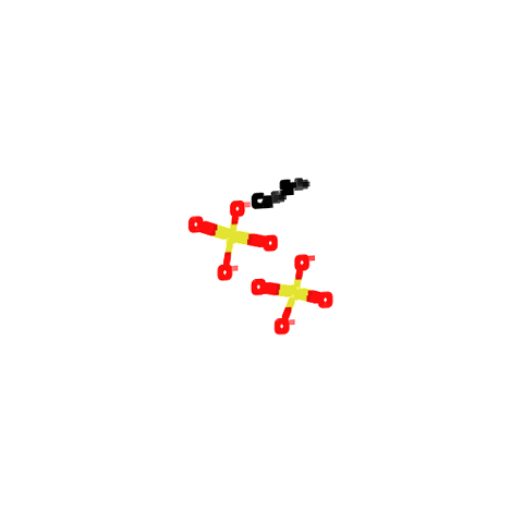 O=S(=O)([O-])[O-].O=S(=O)([O-])[O-].[Ca+2].[Sr+2]